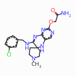 CN1CCC2(CC1)Nc1cnc(OCC(N)=O)nc1N=C2NCc1cccc(Cl)c1